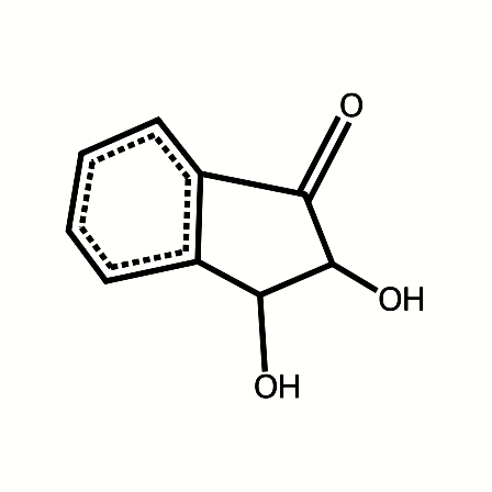 O=C1c2ccccc2C(O)C1O